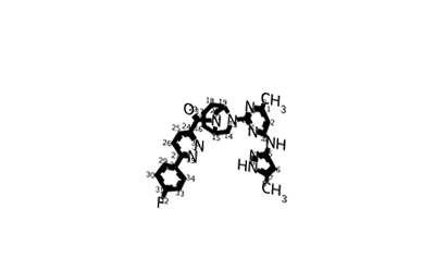 Cc1cc(Nc2cc(C)[nH]n2)nc(N2CC3CCCC2CN3C(=O)c2ccc(-c3ccc(F)cc3)nn2)n1